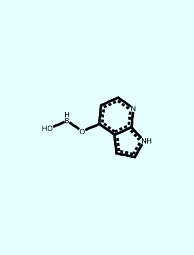 OBOc1ccnc2[nH]ccc12